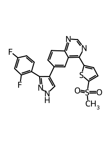 CS(=O)(=O)c1ccc(-c2ncnc3ccc(-c4c[nH]nc4-c4ccc(F)cc4F)cc23)s1